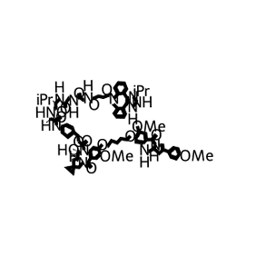 COc1ccc(C2=CN3C(=O)c4cc(OC)c(OCCCCCOc5cc6c(cc5OC)C(=O)N5CC7(CC7)C[C@H]5[C@H](O)N6C(=O)OCc5ccc(NC(=O)[C@H](C)NC(=O)[C@@H](NC(=O)CNC(=O)CNC(=O)CCC(=O)N6Cc7ccccc7C7=C(c8ccccc86)N(C(C)C)NN7)C(C)C)cc5)cc4NC[C@@H]3C2)cc1